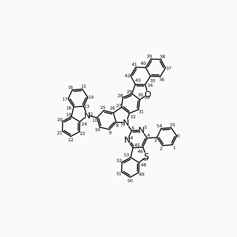 c1ccc(-c2nc(-n3c4ccc(-n5c6ccccc6c6ccccc65)cc4c4cc5c(cc43)oc3c4ccccc4ccc53)nc3c2sc2ccccc23)cc1